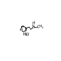 CCNCCc1ccncc1.Cl.Cl